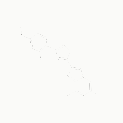 OCc1ccc(-c2noc(-c3cn4cc(C(F)(F)F)cc(Cl)c4n3)n2)c(Cl)c1